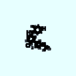 CC1CNCCC1Nc1ncc(C(F)(F)F)c(-c2cn(SN(C)C)cn2)n1